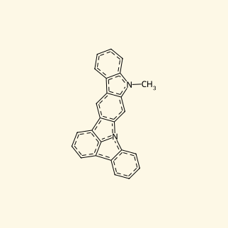 Cn1c2ccccc2c2cc3c4cccc5c6ccccc6n(c3cc21)c54